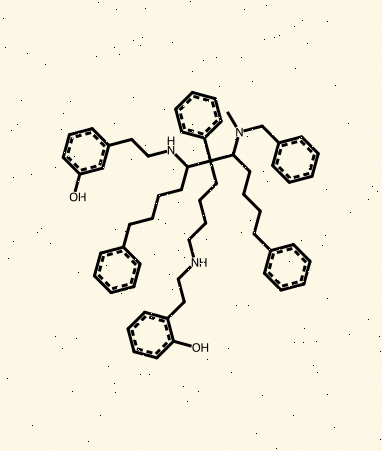 CN(Cc1ccccc1)C(CCCCc1ccccc1)C(CCCCNCCc1ccccc1O)(c1ccccc1)C(CCCCc1ccccc1)NCCc1cccc(O)c1